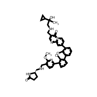 COc1nc(-c2cccc(-c3cccc(-c4ccn5c(=O)c(CNCC(C)(O)C6CC6)cnc5c4)c3Cl)c2Cl)ccc1CNC[C@@H]1CCC(=O)N1